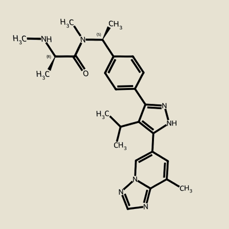 CN[C@H](C)C(=O)N(C)[C@@H](C)c1ccc(-c2n[nH]c(-c3cc(C)c4ncnn4c3)c2C(C)C)cc1